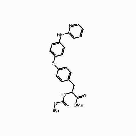 COC(=O)[C@H](Cc1ccc(Oc2ccc(Nc3ccccn3)cc2)cc1)NC(=O)OC(C)(C)C